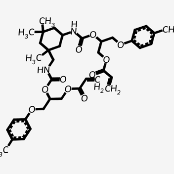 C=CC(=O)OCC(COc1ccc(C)cc1)OC(=O)NCC1(C)CC(NC(=O)OC(COC(=O)C=C)COc2ccc(C)cc2)CC(C)(C)C1